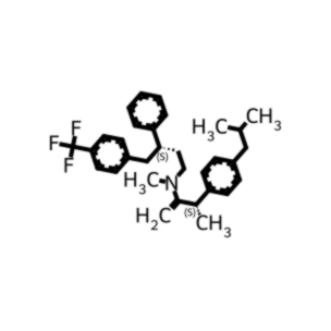 C=C([C@@H](C)c1ccc(CC(C)C)cc1)N(C)CC[C@H](Cc1ccc(C(F)(F)F)cc1)c1ccccc1